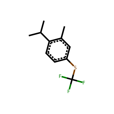 Cc1cc(SC(F)(F)F)ccc1C(C)C